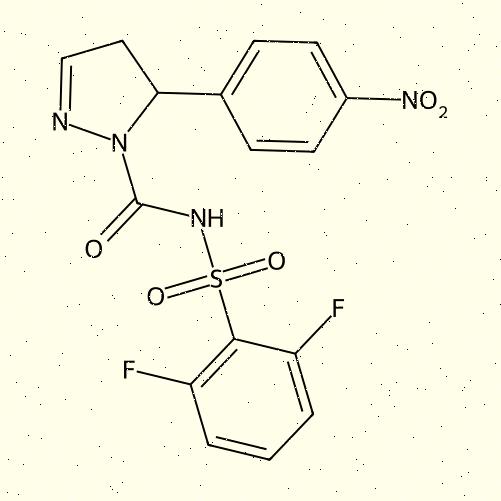 O=C(NS(=O)(=O)c1c(F)cccc1F)N1N=CCC1c1ccc([N+](=O)[O-])cc1